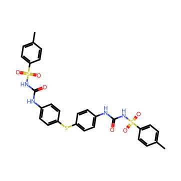 Cc1ccc(S(=O)(=O)NC(=O)Nc2ccc(Sc3ccc(NC(=O)NS(=O)(=O)c4ccc(C)cc4)cc3)cc2)cc1